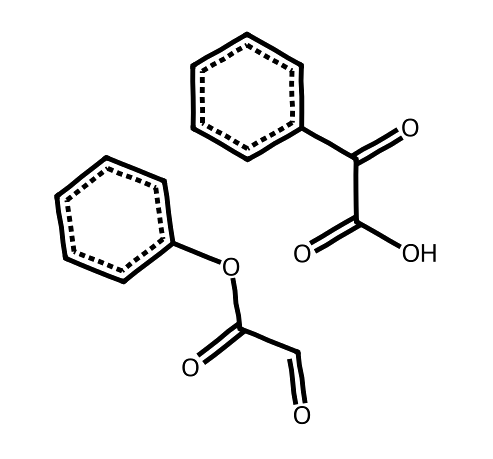 O=C(O)C(=O)c1ccccc1.O=CC(=O)Oc1ccccc1